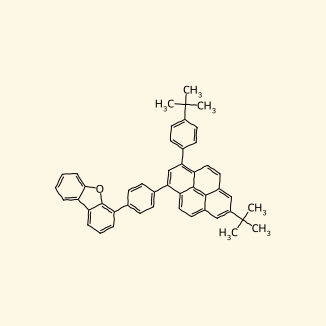 CC(C)(C)c1ccc(-c2cc(-c3ccc(-c4cccc5c4oc4ccccc45)cc3)c3ccc4cc(C(C)(C)C)cc5ccc2c3c45)cc1